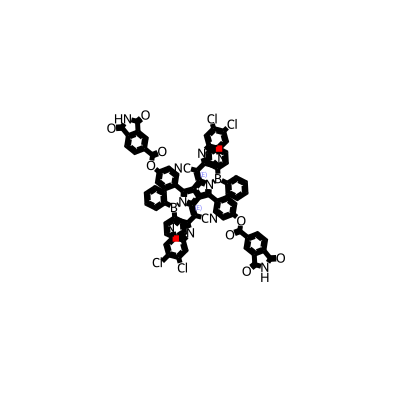 N#C/C(c1cnc2cc(Cl)c(Cl)cc2n1)=c1\c2c(-c3ccc(OC(=O)c4ccc5c(c4)C(=O)NC5=O)cc3)n(B(c3ccccc3)c3ccccc3)/c(=C(/C#N)c3cnc4cc(Cl)c(Cl)cc4n3)c2c(-c2ccc(OC(=O)c3ccc4c(c3)C(=O)NC4=O)cc2)n1B(c1ccccc1)c1ccccc1